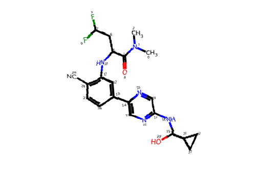 CN(C)C(=O)C(CC(F)F)Nc1cc(-c2cnc(NC(O)C3CC3)cn2)ccc1C#N